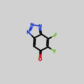 O=C1C=C2N=NN=C2C(F)=C1F